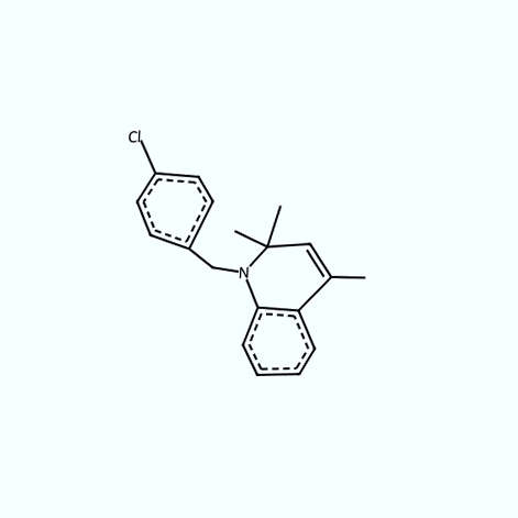 CC1=CC(C)(C)N(Cc2ccc(Cl)cc2)c2ccccc21